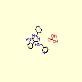 O=C(O)O.c1cncc(CNc2nc(C3CCCCC3)nc3[nH]c4ccccc4c23)c1